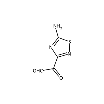 Nc1nc(C(=O)C=O)ns1